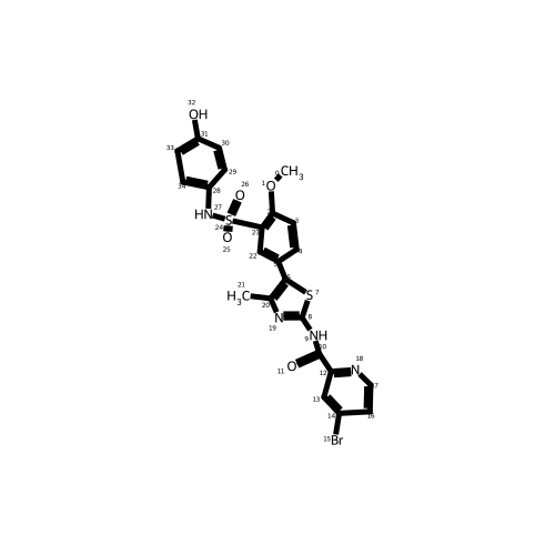 COc1ccc(-c2sc(NC(=O)c3cc(Br)ccn3)nc2C)cc1S(=O)(=O)Nc1ccc(O)cc1